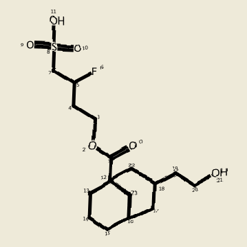 O=C(OCCC(F)CS(=O)(=O)O)C12CCCC(CC(CCO)C1)C2